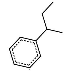 CCC(C)c1c[c]ccc1